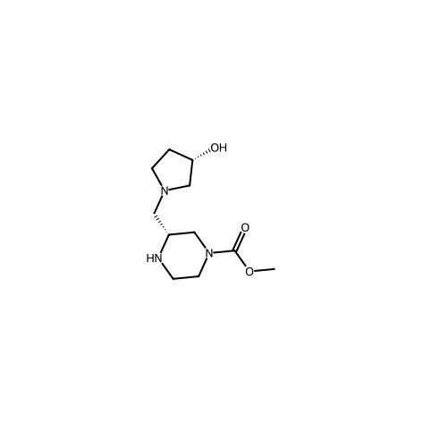 COC(=O)N1CCN[C@H](CN2CC[C@H](O)C2)C1